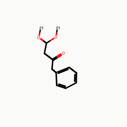 CCOC(CC(=O)Cc1ccccc1)OCC